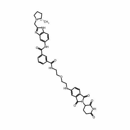 C[C@H]1CCCN1Cc1nc2cc(NC(=O)c3cccc(C(=O)NCCOCCNc4ccc5c(c4)C(=O)N(C4CCC(=O)NC4=O)C5=O)c3)ccc2[nH]1